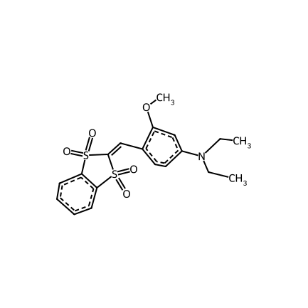 CCN(CC)c1ccc(C=C2S(=O)(=O)c3ccccc3S2(=O)=O)c(OC)c1